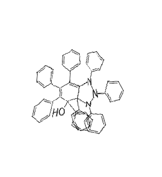 OC1(c2ccccc2)C(c2ccccc2)=C(c2ccccc2)C(c2ccccc2)=C2N(c3ccccc3)N(c3ccccc3)N(c3ccccc3)C21c1ccccc1